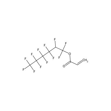 C=CC(=O)OC(F)(F)C(F)C(F)(F)C(F)(F)C(F)(F)C(F)(F)F